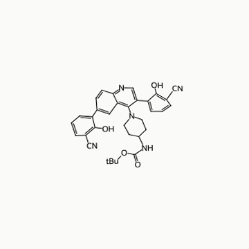 CC(C)(C)OC(=O)NC1CCN(c2c(-c3cccc(C#N)c3O)cnc3ccc(-c4cccc(C#N)c4O)cc23)CC1